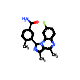 Cc1ccc(C(N)=O)cc1-c1nc(C)c2c(C)nc3ccc(F)cc3n12